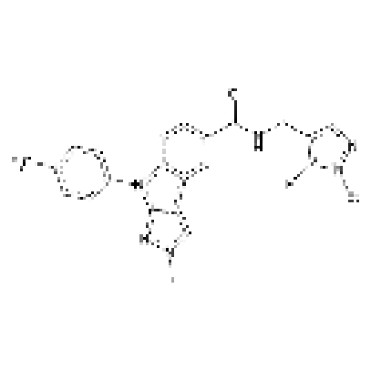 CCn1ncc(CNC(=O)c2ccc3c(c2)c2cn(C)nc2n3-c2ccc(C(F)(F)F)cc2)c1F